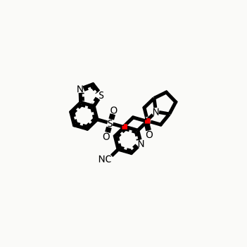 N#Cc1ccc(N2CC3CCC(C2)N3C(=O)CCS(=O)(=O)c2cccc3ncsc23)nc1